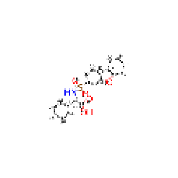 O=C(O)[C@@H](NS(=O)(=O)c1ccc2c3c(oc2c1)CCCC3)c1ccccc1